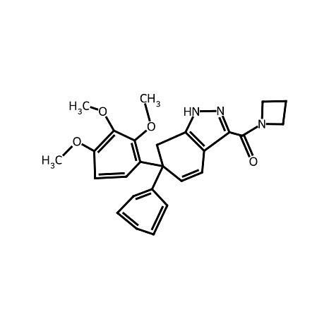 COc1ccc(C2(c3ccccc3)C=Cc3c(C(=O)N4CCC4)n[nH]c3C2)c(OC)c1OC